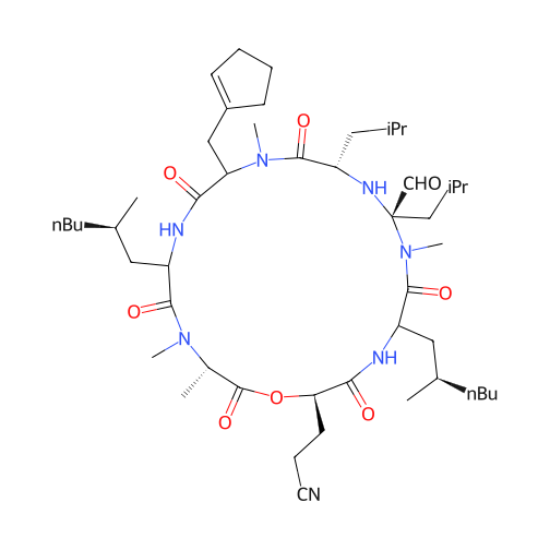 CCCC[C@@H](C)CC1NC(=O)C(CC2=CCCC2)N(C)C(=O)[C@H](CC(C)C)N[C@](C=O)(CC(C)C)N(C)C(=O)C(C[C@H](C)CCCC)NC(=O)[C@@H](CCC#N)OC(=O)[C@H](C)N(C)C1=O